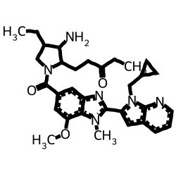 CCC(=O)CCC1C(N)C(CC)CN1C(=O)c1cc(OC)c2c(c1)nc(-c1cc3cccnc3n1CC1CC1)n2C